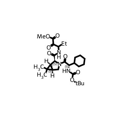 CCC(NC(=O)[C@@H]1[C@@H]2[C@H](CN1C(=O)[C@@H](NC(=O)OC(C)(C)C)C1CCCCC1)C2(C)C)C(=O)C(=O)OC